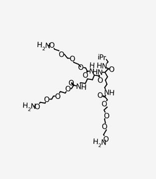 CC(C)CNC(=O)C(CCCCNC(=O)COCCOCCOCCON)NC(=O)C(CCCCNC(=O)COCCOCCOCCON)NC(=O)COCCOCCOCCON